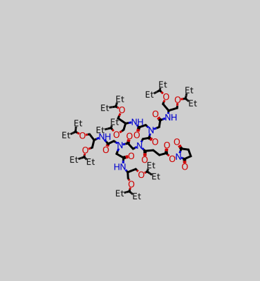 CCC(CC)OCC(COC(CC)CC)NC(=O)CN(CC(=O)NC(COC(CC)CC)COC(CC)CC)C(=O)CN(CC(=O)N(CC(=O)NC(COC(CC)CC)COC(CC)CC)CC(=O)NC(COC(CC)CC)COC(CC)CC)C(=O)CCC(=O)ON1C(=O)CCC1=O